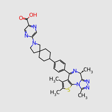 Cc1sc2c(c1C)C(c1ccc(C3CCC4(CC3)CCN(c3cnc(C(=O)O)cn3)C4)cc1)=N[C@@H](C)c1nnc(C)n1-2